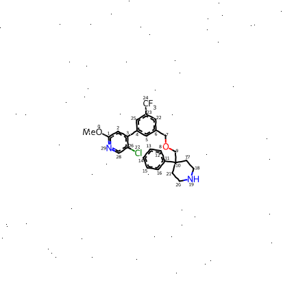 COc1cc(-c2cc(COCC3(c4ccccc4)CCNCC3)cc(C(F)(F)F)c2)c(Cl)cn1